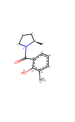 C[C@@H]1CCCN1C(=O)c1cccc([N+](=O)[O-])c1O